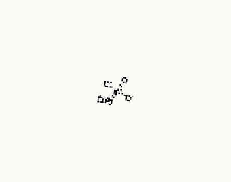 [Cu+2].[O]=[W](=[O])([O-])[O-]